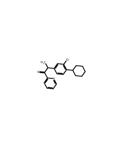 CC(C(=O)c1ccccn1)c1ccc(C2CCCCC2)c(Cl)c1